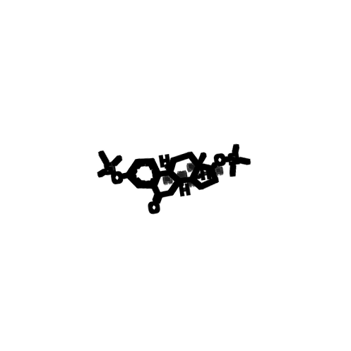 C[C@]12CC[C@@H]3c4ccc(O[Si](C)(C)C)cc4C(=O)C[C@H]3[C@@H]1CC[C@@H]2O[Si](C)(C)C